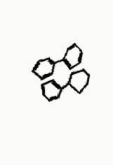 c1ccc(-c2ccccc2)cc1.c1ccc([C]2CCCCC2)cc1